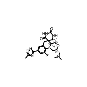 Cc1nc(-c2cc(F)c3c(c2)CC2(C(=O)NC(=O)NC2=O)[C@H]2[C@H](C)O[C@H](CN(C)C)CN32)no1